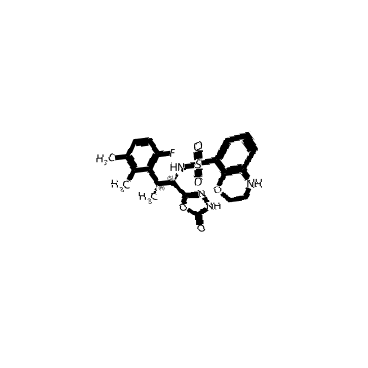 Cc1ccc(F)c([C@@H](C)[C@H](NS(=O)(=O)c2cccc3c2OCCN3)c2n[nH]c(=O)o2)c1C